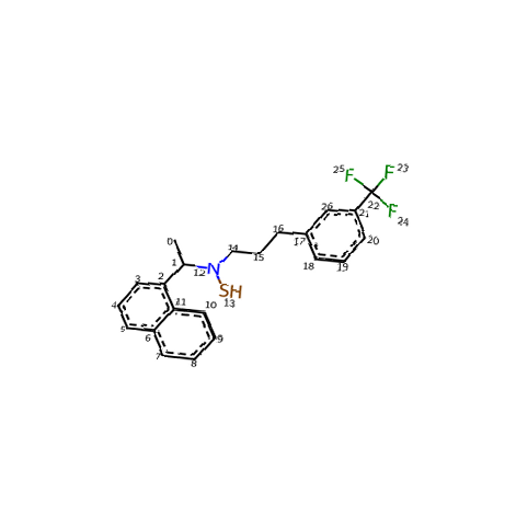 CC(c1cccc2ccccc12)N(S)CCCc1cccc(C(F)(F)F)c1